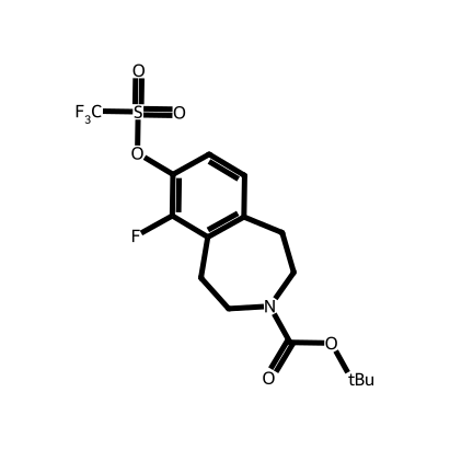 CC(C)(C)OC(=O)N1CCc2ccc(OS(=O)(=O)C(F)(F)F)c(F)c2CC1